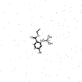 CCOC(=O)c1ccc(Br)cc1.OB(O)O